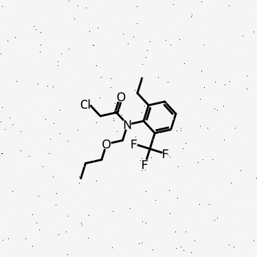 CCCOCN(C(=O)CCl)c1c(CC)cccc1C(F)(F)F